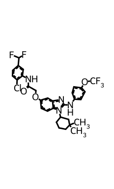 CC1(C)CCCC(n2c(Nc3ccc(OC(F)(F)F)cc3)nc3cc(OCC(=O)Nc4cc(C(F)F)ccc4Cl)ccc32)C1